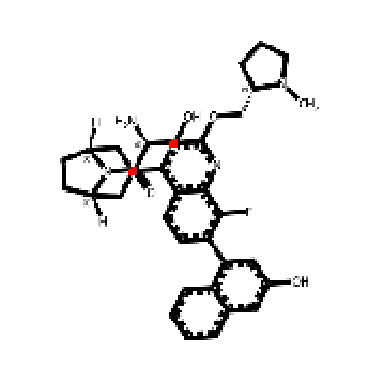 CN1CCC[C@H]1COc1nc(N2C[C@H]3CC[C@@H](C2)N3C(=O)[C@@H](N)CO)c2ccc(-c3cc(O)cc4ccccc34)c(F)c2n1